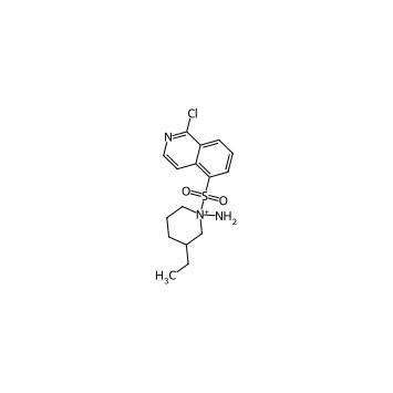 CCC1CCC[N+](N)(S(=O)(=O)c2cccc3c(Cl)nccc23)C1